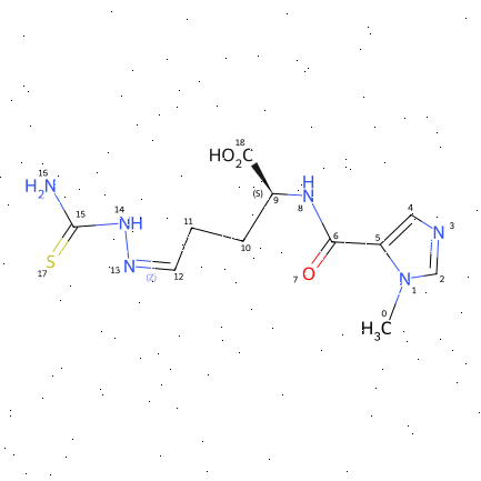 Cn1cncc1C(=O)N[C@@H](CC/C=N\NC(N)=S)C(=O)O